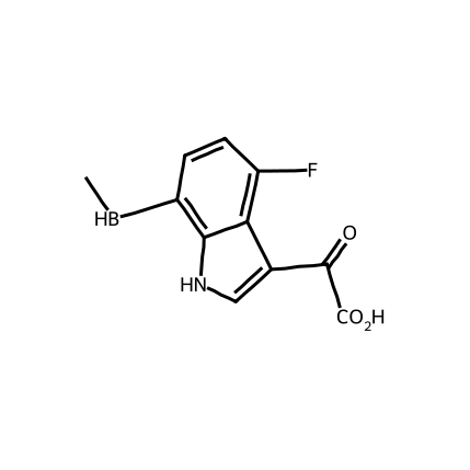 CBc1ccc(F)c2c(C(=O)C(=O)O)c[nH]c12